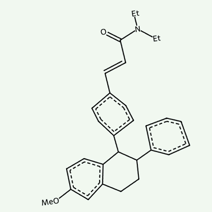 CCN(CC)C(=O)C=Cc1ccc(C2c3ccc(OC)cc3CCC2c2ccccc2)cc1